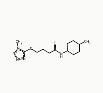 CC1CCC(NC(=O)CCCSc2nnnn2C)CC1